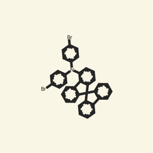 Brc1ccc(N(c2ccc(Br)cc2)c2cccc3c2-c2ccccc2C32c3ccccc3-c3ccccc32)cc1